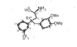 CCC(Cc1ccc(OC)c(OC)c1)(C[C@H](N)O)c1cccc(C(F)(F)F)c1